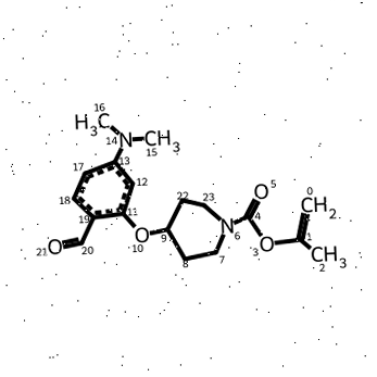 C=C(C)OC(=O)N1CCC(Oc2cc(N(C)C)ccc2C=O)CC1